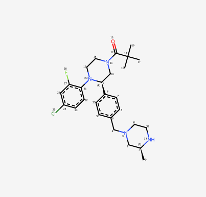 C[C@H]1CN(Cc2ccc([C@@H]3CN(C(=O)C(C)(C)C)CCN3c3ccc(Cl)cc3F)cc2)CCN1